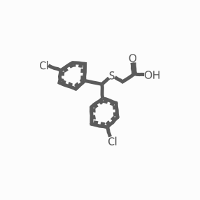 O=C(O)CSC(c1ccc(Cl)cc1)c1ccc(Cl)cc1